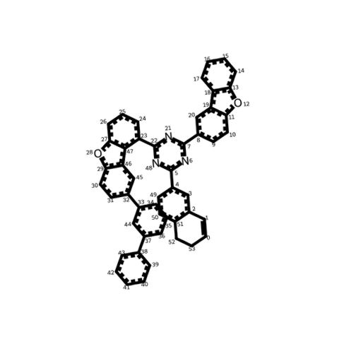 C1=Cc2cc(-c3nc(-c4ccc5oc6ccccc6c5c4)nc(-c4cccc5oc6ccc(-c7cccc(-c8ccccc8)c7)cc6c45)n3)ccc2CC1